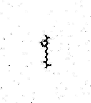 CC(C)C(=O)CCCCCc1ccnc(C(C)C)c1